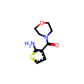 Nc1sccc1C(=O)N1CCOCC1